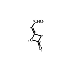 O=[C]C=C1CC(=O)O1